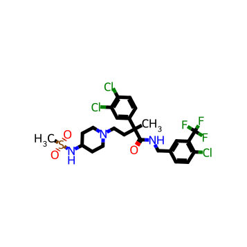 CC(CCN1CCC(NS(C)(=O)=O)CC1)(C(=O)NCc1ccc(Cl)c(C(F)(F)F)c1)c1ccc(Cl)c(Cl)c1